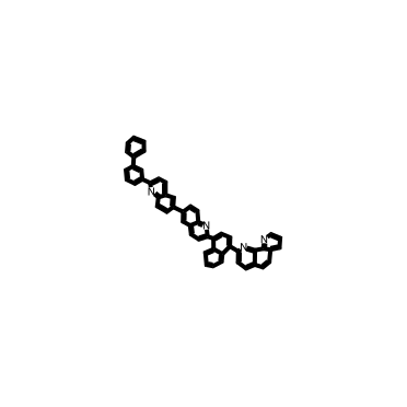 c1ccc(-c2cccc(-c3ccc4cc(-c5ccc6nc(-c7ccc(-c8ccc9ccc%10cccnc%10c9n8)c8ccccc78)ccc6c5)ccc4n3)c2)cc1